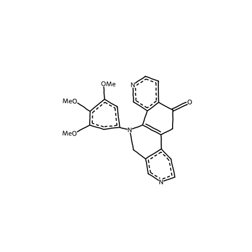 COc1cc(N2Cc3cnccc3C3=C2c2cnccc2C(=O)C3)cc(OC)c1OC